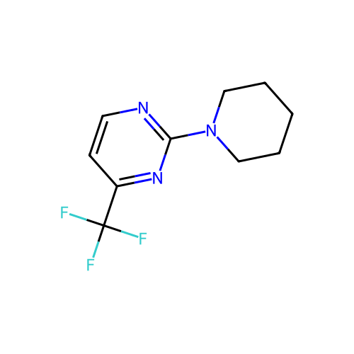 FC(F)(F)c1ccnc(N2CCCCC2)n1